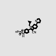 CCCS(=O)(=O)Nc1ccc(-c2c(C#N)c3ccc(-c4ccccn4)cc3n2CC2CC2)cc1